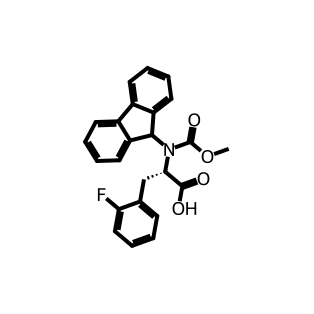 COC(=O)N(C1c2ccccc2-c2ccccc21)[C@@H](Cc1ccccc1F)C(=O)O